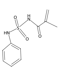 C=C(C)C(=O)NS(=O)(=O)Nc1ccccc1